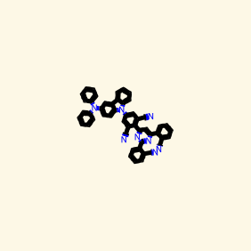 N#Cc1ccccc1-c1cc(-c2c(C#N)cc(-n3c4ccccc4c4cc(N(c5ccccc5)c5ccccc5)ccc43)cc2C#N)nc(-c2ccccc2C#N)n1